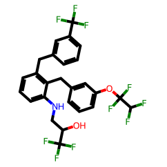 OC(CNc1cccc(Cc2cccc(C(F)(F)F)c2)c1Cc1cccc(OC(F)(F)C(F)F)c1)C(F)(F)F